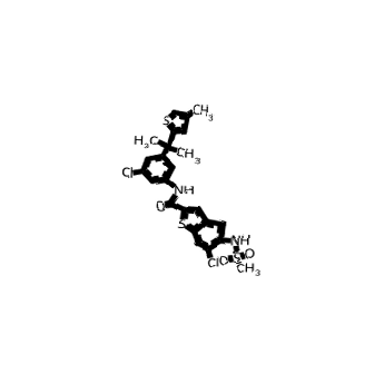 Cc1csc(C(C)(C)c2cc(Cl)cc(NC(=O)c3cc4cc(NS(C)(=O)=O)c(Cl)cc4s3)c2)c1